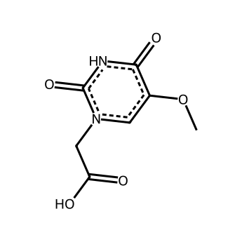 COc1cn(CC(=O)O)c(=O)[nH]c1=O